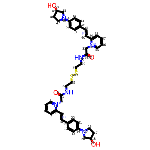 O=C(C[n+]1ccccc1/C=C/c1ccc(N2CCC(O)C2)cc1)NCCSSCCNC(=O)C[n+]1ccccc1/C=C/c1ccc(N2CCC(O)C2)cc1